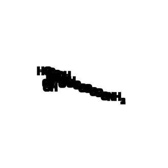 NCCOCCOCCOCCOCCOCCOCCOCCNC(=O)CCC(C(=O)O)N1CCN(CC(=O)O)CCN(CC(=O)O)CC1